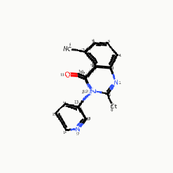 CCc1nc2cccc(C#N)c2c(=O)n1-c1cccnc1